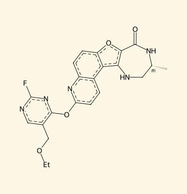 CCOCc1cnc(F)nc1Oc1ccc2c(ccc3oc4c(c32)NC[C@@H](C)NC4=O)n1